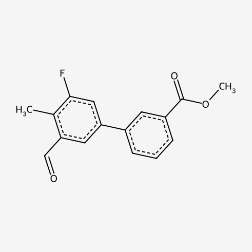 COC(=O)c1cccc(-c2cc(F)c(C)c(C=O)c2)c1